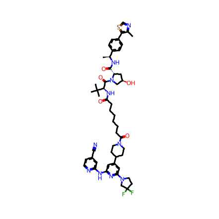 Cc1ncsc1-c1ccc([C@H](C)NC(=O)[C@@H]2C[C@@H](O)CN2C(=O)[C@@H](NC(=O)CCCCCCC(=O)N2CCC(c3cc(Nc4cc(C#N)ccn4)nc(N4CCC(F)(F)C4)c3)CC2)C(C)(C)C)cc1